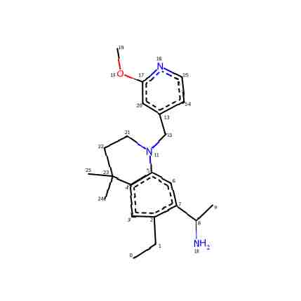 CCc1cc2c(cc1C(C)N)N(Cc1ccnc(OC)c1)CCC2(C)C